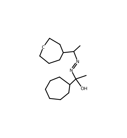 CC(N=NC(C)(O)C1CCCCCC1)C1CCCCCC1